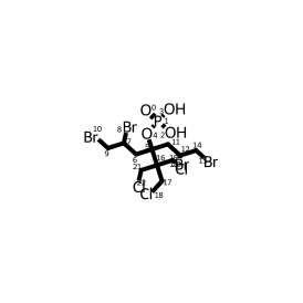 O=P(O)(O)OC(CC(Br)CBr)(CC(Br)CBr)C(CCl)(CCl)CCl